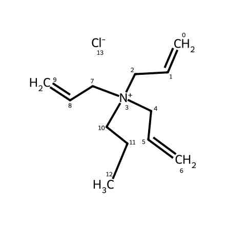 C=CC[N+](CC=C)(CC=C)CCC.[Cl-]